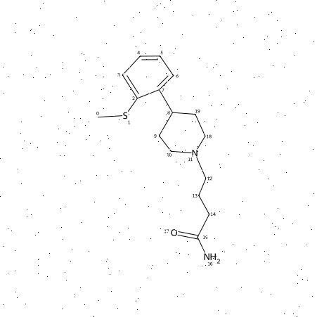 CSc1ccccc1C1CCN(CCCC(N)=O)CC1